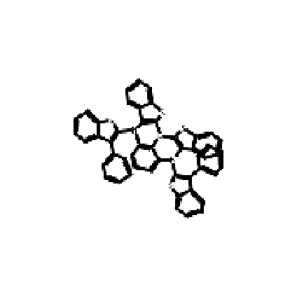 c1ccc(-c2c(N3c4cccc5c4B(c4sc6ccccc6c43)c3sc4ccccc4c3N5c3sc4ccccc4c3-c3ccccc3)sc3ccccc23)cc1